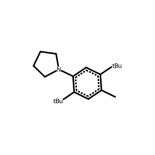 Cc1cc(C(C)(C)C)c(N2CCCC2)cc1C(C)(C)C